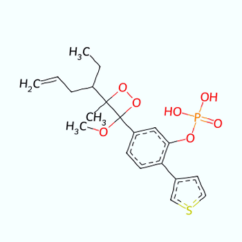 C=CCC(CC)C1(C)OOC1(OC)c1ccc(-c2ccsc2)c(OP(=O)(O)O)c1